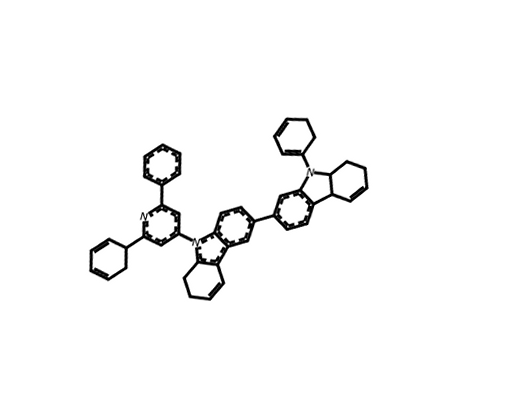 C1=CCCC(N2c3cc(-c4ccc5c(c4)c4c(n5-c5cc(-c6ccccc6)nc(C6C=CC=CC6)c5)CCC=C4)ccc3C3C=CCCC32)=C1